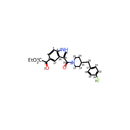 CCOC(=O)C(=O)c1ccc2[nH]cc(C(=O)N3CCC(Cc4ccc(F)cc4)CC3)c2c1